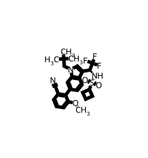 COc1cccc(C#N)c1-c1ccc2c([C@H](NS(=O)(=O)C3CCC3)C(F)(F)F)cn(CC(C)(C)C)c2c1